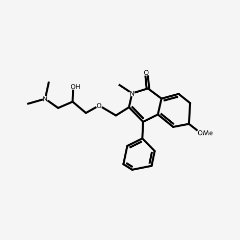 COC1C=c2c(-c3ccccc3)c(COCC(O)CN(C)C)n(C)c(=O)c2=CC1